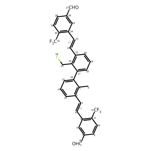 Cc1c(/C=C/c2cc(C=O)ccc2C(F)(F)F)cccc1-c1cccc(/C=C/c2cc(C=O)ccc2C(F)(F)F)c1CF